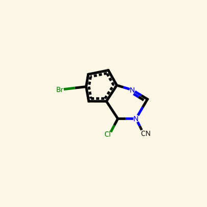 N#CN1C=Nc2ccc(Br)cc2C1Cl